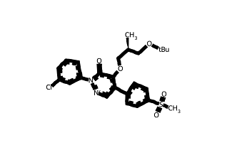 C[C@H](COc1c(-c2ccc(S(C)(=O)=O)cc2)cnn(-c2cccc(Cl)c2)c1=O)COC(C)(C)C